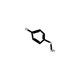 CCCSc1ccc([O])cc1